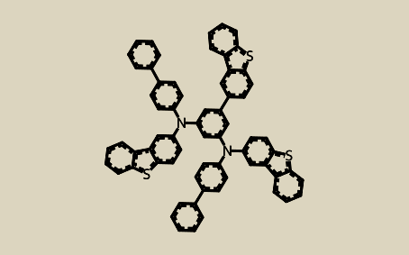 c1ccc(-c2ccc(N(c3cc(-c4ccc5sc6ccccc6c5c4)cc(N(c4ccc(-c5ccccc5)cc4)c4ccc5sc6ccccc6c5c4)c3)c3ccc4sc5ccccc5c4c3)cc2)cc1